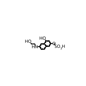 O=S(=O)(O)Oc1cc(O)c2cc(NCCO)ccc2c1